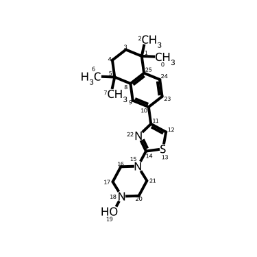 CC1(C)CCC(C)(C)c2cc(-c3csc(N4CCN(O)CC4)n3)ccc21